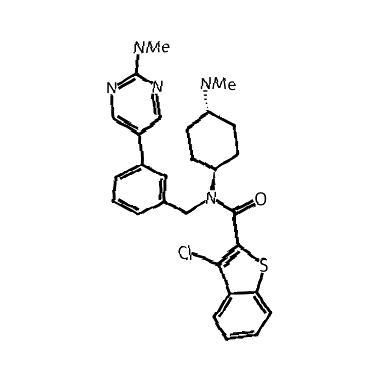 CNc1ncc(-c2cccc(CN(C(=O)c3sc4ccccc4c3Cl)[C@H]3CC[C@H](NC)CC3)c2)cn1